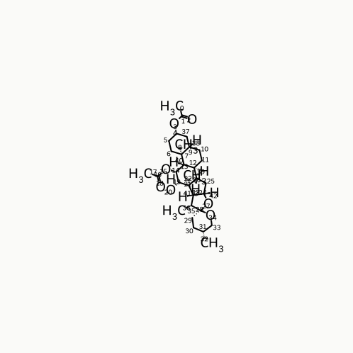 CC(=O)O[C@H]1CC[C@@]2(C)[C@@H](CC[C@@H]3[C@@H]2[C@H](OC(C)=O)[C@@H](O)[C@]2(C)[C@@H]4[C@H](C[C@@H]32)O[C@]2(CC[C@@H](C)CO2)[C@H]4C)C1